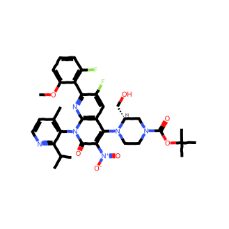 COc1cccc(F)c1-c1nc2c(cc1F)c(N1CCN(C(=O)OC(C)(C)C)C[C@H]1CO)c([N+](=O)[O-])c(=O)n2-c1c(C)ccnc1C(C)C